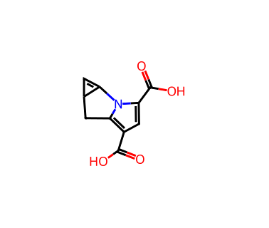 O=C(O)c1cc(C(=O)O)n2c1CC1C=C12